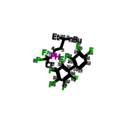 CCCCC(CC)CCPC(F)(F)C(F)(F)F.Fc1ccc(-c2c(F)c(F)c(F)c(F)c2F)c(F)c1F